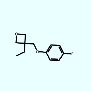 CCC1(COc2ccc(F)cc2)COC1